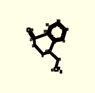 O=C1CCN(CC(F)(F)F)c2ccccc21